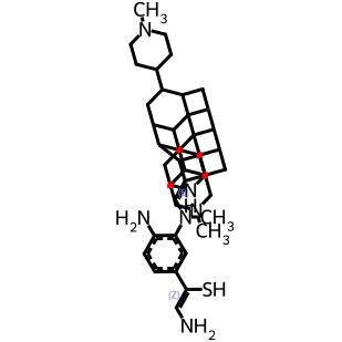 CN1CCC(C2CC3C4C5/C(=C/N(C)c6cc(/C(S)=C/N)ccc6N)C6CC7C8C9CC2C9(C3C2CCNCC2)C8(C4C2CCN(C)CC2)C675)CC1